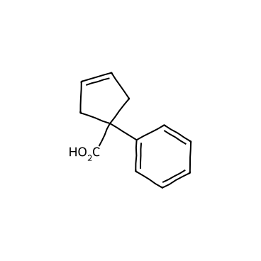 O=C(O)C1(c2ccccc2)CC=CC1